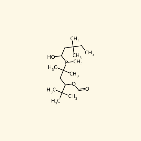 CCC(C)(C)CC(O)P(C)C(C)(C)CC(OC=O)C(C)(C)C